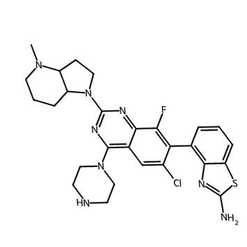 CN1CCCC2C1CCN2c1nc(N2CCNCC2)c2cc(Cl)c(-c3cccc4sc(N)nc34)c(F)c2n1